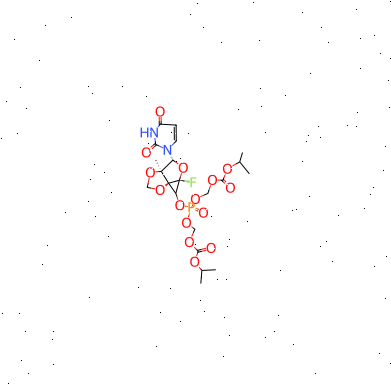 CC(C)OC(=O)OCOP(=O)(OCOC(=O)OC(C)C)OC1[C@]23OCO[C@@]2(C)[C@H](n2ccc(=O)[nH]c2=O)O[C@]13F